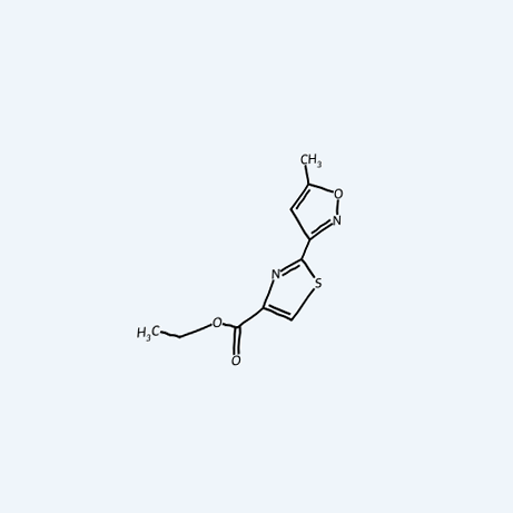 CCOC(=O)c1csc(-c2cc(C)on2)n1